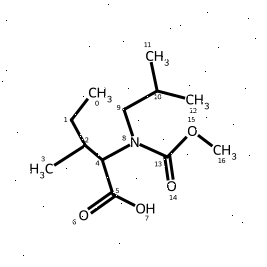 CCC(C)C(C(=O)O)N(CC(C)C)C(=O)OC